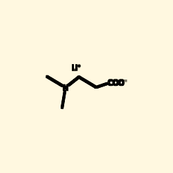 CN(C)CCC(=O)[O-].[Li+]